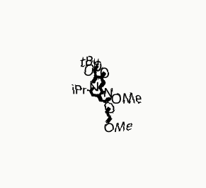 COCCCOc1cc2c(nc1OC)-c1cc(=O)c(C(=O)OC(C)(C)C)cn1[C@H](C(C)C)C2